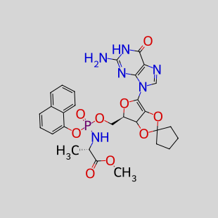 COC(=O)[C@H](C)NP(=O)(OC[C@H]1OC(n2cnc3c(=O)[nH]c(N)nc32)=C2OC3(CCCC3)OC21)Oc1cccc2ccccc12